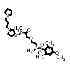 COc1cc(C)c(S(=O)(=O)N(C)CCOCC(=O)N(C)C[C@@H]2CCN(CCCN3CCCC3)C2)c(C)c1